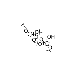 CC(C)O[C@@H]1C[C@@H](CO)N(C(=O)OC(C)(C)COC[C@@H]2C[C@@H](OCC3CC3)CN2C(=O)OC(C)(C)C)C1